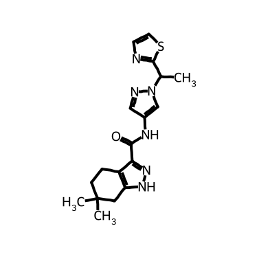 CC(c1nccs1)n1cc(NC(=O)c2n[nH]c3c2CCC(C)(C)C3)cn1